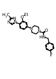 CCOc1cc(N2CCN(C(=O)NCc3ccc(F)cc3)CC2)ccc1-n1cnc(C)n1